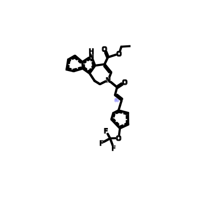 CCOC(=O)C1=CN(C(=O)/C=C/c2ccc(OC(F)(F)F)cc2)CCc2c1[nH]c1ccccc21